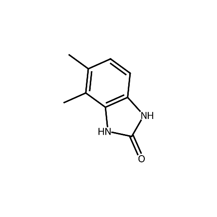 Cc1ccc2[nH]c(=O)[nH]c2c1C